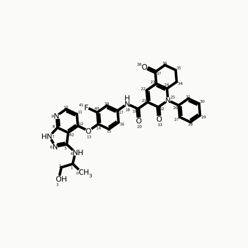 CC(CO)Nc1n[nH]c2nccc(Oc3ccc(NC(=O)c4cc5c(n(-c6ccccc6)c4=O)CCCC5=O)cc3F)c12